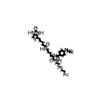 CC(=O)CCSSCCNC(=O)C(CCCCNC(=O)CCCCC1SCC2NC(=O)NC21)NC(=O)c1ccc(N=[N+]=[N-])cc1